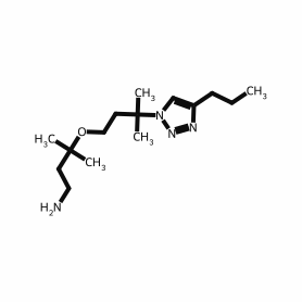 CCCc1cn(C(C)(C)CCOC(C)(C)CCN)nn1